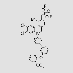 O=C(O)c1ccccc1Oc1cccc(-c2csc(N(Cc3ccc(CP(=O)(OF)OF)c(Br)c3)c3ccc(Cl)c(Cl)c3)n2)c1